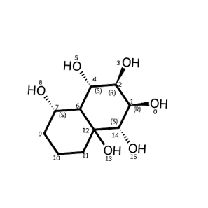 O[C@@H]1[C@H](O)[C@@H](O)C2[C@@H](O)CCCC2(O)[C@H]1O